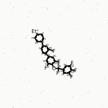 CCc1ccc(-c2ccc(-c3cc(F)c(OC(F)(F)c4cc(F)c(F)c(F)c4)c(F)c3)c(F)c2)cc1